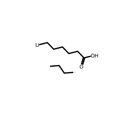 [CH2]CCC.[Li][CH2]CCCCC(=O)O